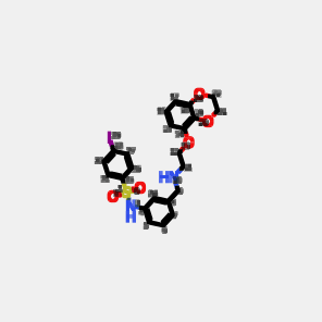 O=S(=O)(Nc1cccc(CNCCOc2cccc3c2OCCO3)c1)c1ccc(I)cc1